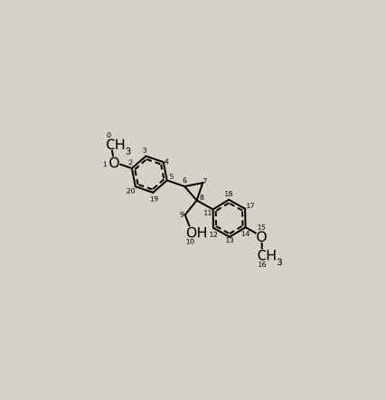 COc1ccc(C2CC2(CO)c2ccc(OC)cc2)cc1